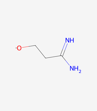 N=C(N)CC[O]